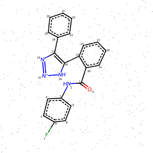 O=C(Nc1ccc(F)cc1)c1ccccc1C1=C(c2ccccc2)N=[N+]N1